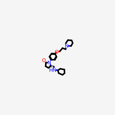 O=C1CC[C@@H](CNC2CCCCC2)N1c1ccc(OCCCN2CCCCC2)cc1